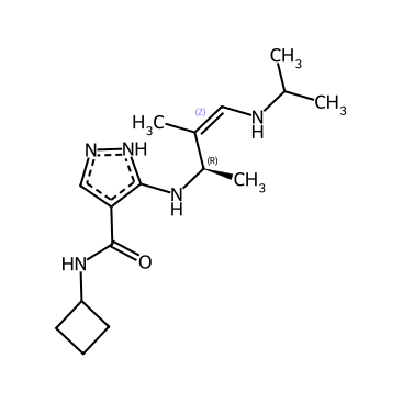 C/C(=C/NC(C)C)[C@@H](C)Nc1[nH]ncc1C(=O)NC1CCC1